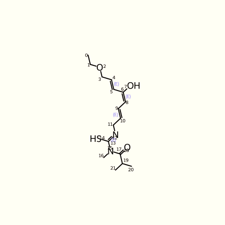 CCOC/C=C/C(O)=C\C=C\C/N=C(\S)N(C)C(=O)C(C)C